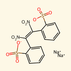 O=[N+]([O-])C(=C(c1ccccc1S(=O)(=O)[O-])[N+](=O)[O-])c1ccccc1S(=O)(=O)[O-].[Na+].[Na+]